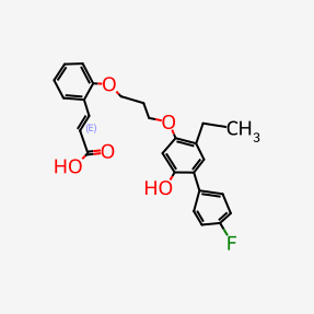 CCc1cc(-c2ccc(F)cc2)c(O)cc1OCCCOc1ccccc1/C=C/C(=O)O